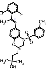 C/C(=C\c1ccc2c(c1)N(S(=O)(=O)c1cccc(C)c1)C[C@H](CCC(C)(C)O)O2)c1c(F)cccc1Cl